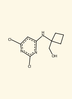 OCC1(Nc2cc(Cl)nc(Cl)n2)CCC1